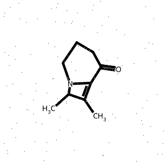 CC1=C2C(=O)CCCN2C1C